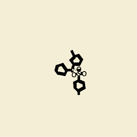 Cc1ccc(S(=O)(=O)O[I+](c2ccccc2)c2cccc(C)c2)cc1